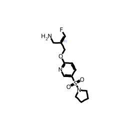 NC/C(=C\F)COc1ccc(S(=O)(=O)N2CCCC2)cn1